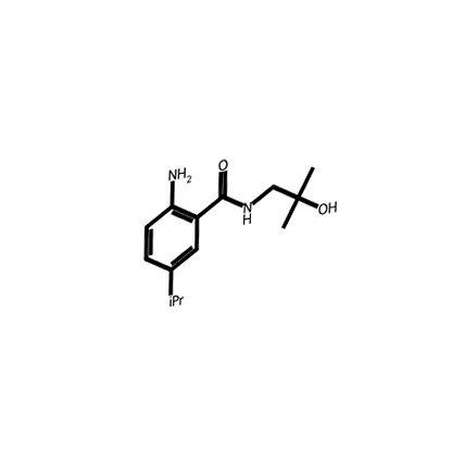 CC(C)c1ccc(N)c(C(=O)NCC(C)(C)O)c1